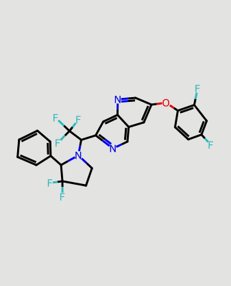 Fc1ccc(Oc2cnc3cc(C(N4CCC(F)(F)C4c4ccccc4)C(F)(F)F)ncc3c2)c(F)c1